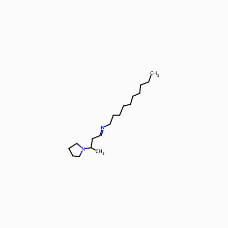 CCCCCCCCCCN=CCC(C)N1CCCC1